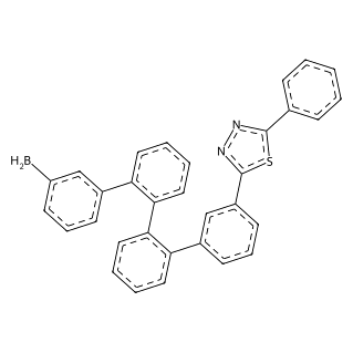 Bc1cccc(-c2ccccc2-c2ccccc2-c2cccc(-c3nnc(-c4ccccc4)s3)c2)c1